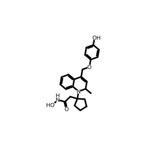 CC1C=C(COc2ccc(O)cc2)c2ccccc2N1C1(CC(=O)NO)CCCC1